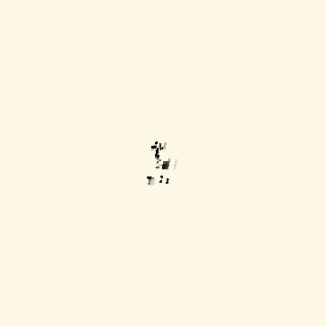 [Cu].[SeH][Au].[Tl]